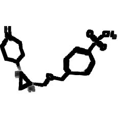 CS(=O)(=O)c1ccc(COC[C@@H]2C[C@@H]2C2CCNCC2)cc1